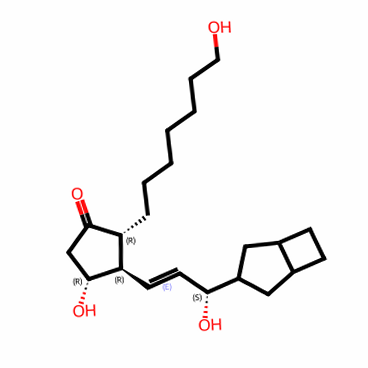 O=C1C[C@@H](O)[C@H](/C=C/[C@@H](O)C2CC3CCC3C2)[C@H]1CCCCCCCO